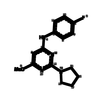 COc1cc(Nc2ccc(F)cc2)nc(N2CCCC2)n1